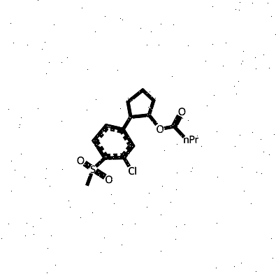 CCCC(=O)OC1CCCC1c1ccc(S(C)(=O)=O)c(Cl)c1